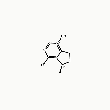 C[C@@H]1CCc2c1c(Cl)nc[n+]2O